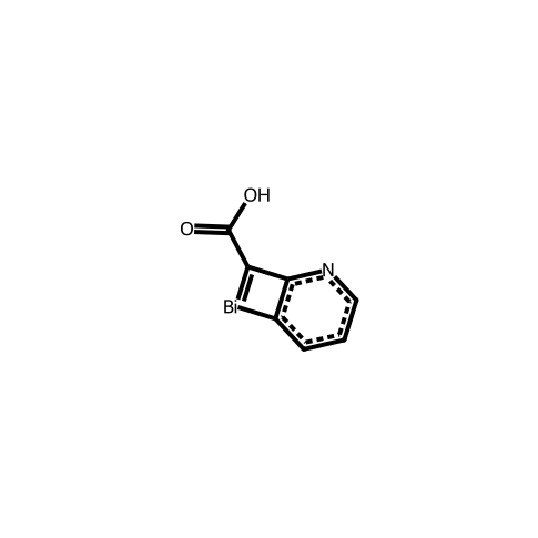 O=C(O)[C]1=[Bi][c]2cccnc21